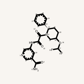 NC(=O)c1cncc(NC(=O)C(=O)N2CC(OC(F)F)CC[C@H]2c2ccccc2)c1